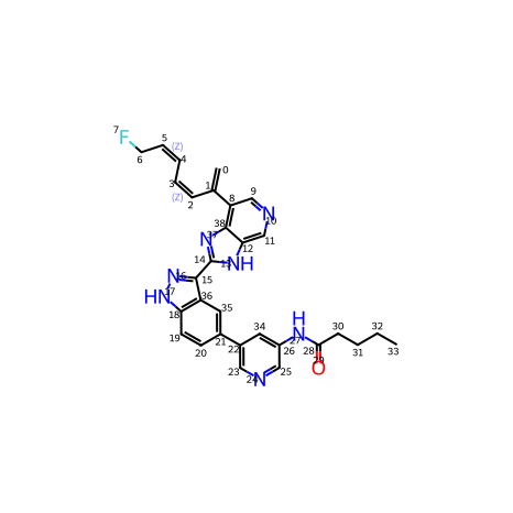 C=C(/C=C\C=C/CF)c1cncc2[nH]c(-c3n[nH]c4ccc(-c5cncc(NC(=O)CCCC)c5)cc34)nc12